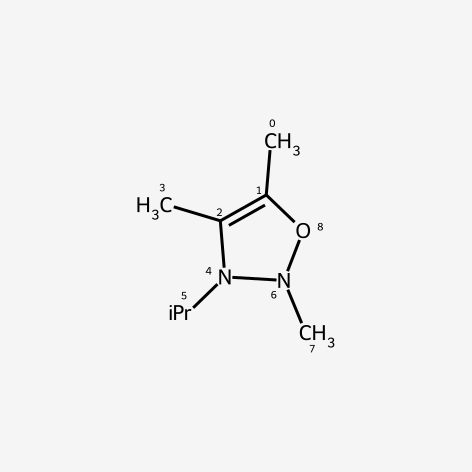 CC1=C(C)N(C(C)C)N(C)O1